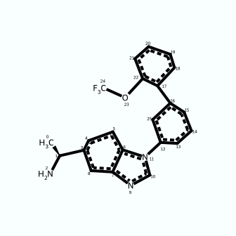 C[C@H](N)c1ccc2c(c1)ncn2-c1cccc(-c2ccccc2OC(F)(F)F)c1